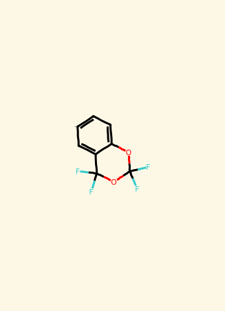 FC1(F)Oc2cc[c]cc2C(F)(F)O1